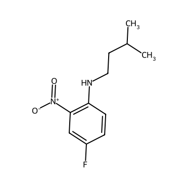 CC(C)CCNc1ccc(F)cc1[N+](=O)[O-]